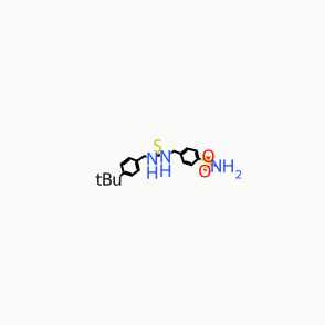 CC(C)(C)c1ccc(CNC(=S)NCc2ccc(S(N)(=O)=O)cc2)cc1